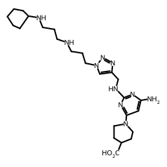 Nc1cc(N2CCC(C(=O)O)CC2)nc(NCc2cn(CCCNCCCNC3CCCCC3)nn2)n1